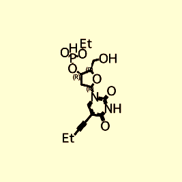 CCC#Cc1cn([C@H]2C[C@@H](O[PH](=O)OCC)[C@@H](CO)O2)c(=O)[nH]c1=O